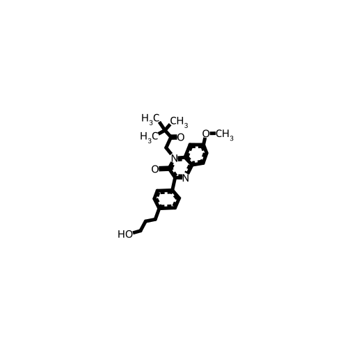 COc1ccc2nc(-c3ccc(CCCO)cc3)c(=O)n(CC(=O)C(C)(C)C)c2c1